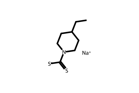 CCC1CCN(C(=S)[S-])CC1.[Na+]